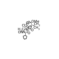 C=C(C)C(C(=O)OC)N1C(=O)C(N2C(=O)C(c3ccccc3)N(N=O)C2(C)C)C1[S+]([O-])Cl